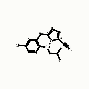 CC(C)COc1ccc(Cl)cc1Cc1ccc(C#N)o1